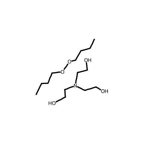 CCCCOOCCCC.OCCN(CCO)CCO